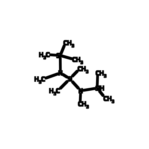 CN([SiH](C)C)[Si](C)(C)N(C)[Si](C)(C)C